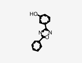 Oc1cccc(-c2noc(-c3ccccc3)n2)c1